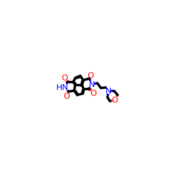 O=C1NC(=O)c2ccc3c4c(ccc1c24)C(=O)N(CCCN1CCOCC1)C3=O